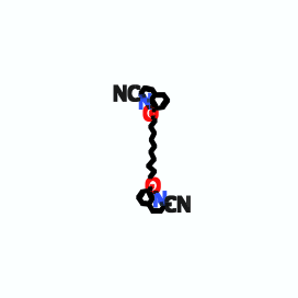 N#Cc1ccc2cccc(OCCCCCCCCCCOc3cccc4ccc(C#N)nc34)c2n1